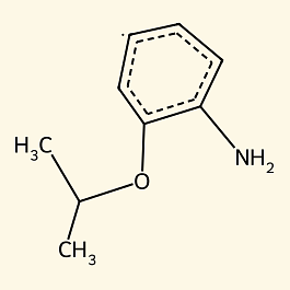 CC(C)Oc1c[c]ccc1N